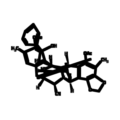 COc1c(C)cc2c(c1O)[C@H]1N[C@@H](C2)[C@H](C#N)N2C1[C@@H]1SC[C@H](NCc3ccccc3)C(=O)OC[C@H]2c2c3c(c(C)c(OC(C)=O)c21)OCO3